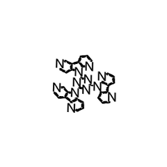 c1cnc2c(c1)c1cnccc1n2-c1nc(-n2c3cnccc3c3ncccc32)nc(-n2c3cccnc3c3cccnc32)n1